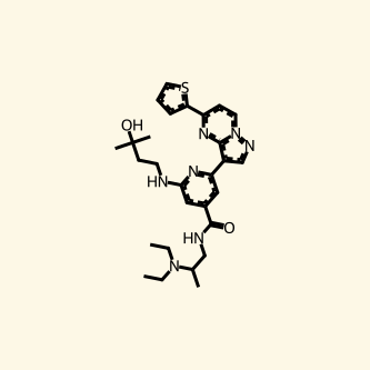 CCN(CC)C(C)CNC(=O)c1cc(NCCC(C)(C)O)nc(-c2cnn3ccc(-c4cccs4)nc23)c1